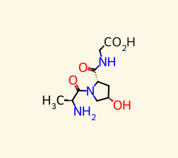 C[C@H](N)C(=O)N1C[C@H](O)C[C@H]1C(=O)NCC(=O)O